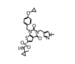 Cn1cc(Cn2c(=O)c3cc(S(=O)(=O)NC4(C)CC4)sc3n(Cc3ccc(OC4CC4)cc3)c2=O)cn1